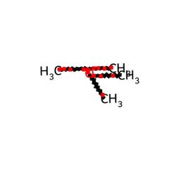 CCCCCCCCCCCCCCC(CCCCCCCCCCCC)COCC(CCCCCCCCCCCC)CCCCCCCCCCCCCC